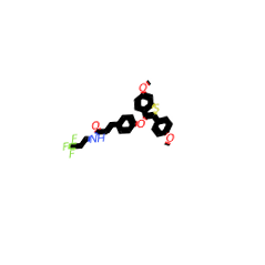 COc1ccc(-c2sc3cc(OC)ccc3c2Oc2ccc(C=CC(=O)NCCC(F)(F)F)cc2)cc1